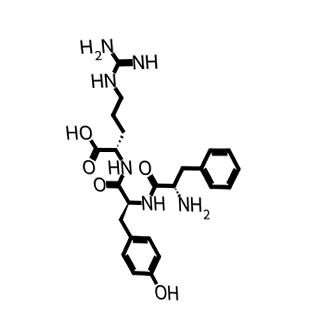 N=C(N)NCCC[C@H](NC(=O)[C@H](Cc1ccc(O)cc1)NC(=O)[C@@H](N)Cc1ccccc1)C(=O)O